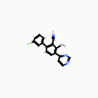 Cc1c(-c2ccncn2)ccc(-c2cccc(F)c2)c1C#N